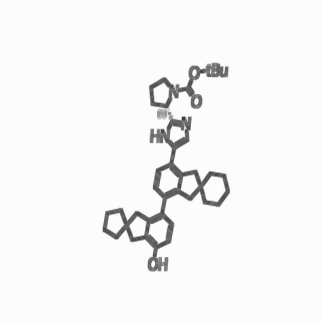 CC(C)(C)OC(=O)N1CCC[C@H]1c1ncc(-c2ccc(-c3ccc(O)c4c3CC3(CCCC3)C4)c3c2CC2(CCCCC2)C3)[nH]1